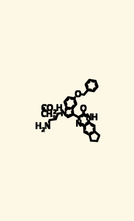 CC(=O)O.NCCCn1cc(-c2nc3cc4c(cc3[nH]c2=O)CCC4)c2cc(OCc3ccccc3)ccc21